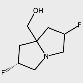 OCC12CC(F)CN1C[C@H](F)C2